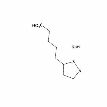 O=C(O)CCCCC1CCSS1.[NaH]